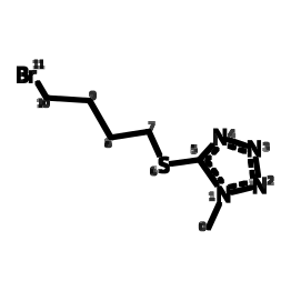 Cn1nnnc1SCCCCBr